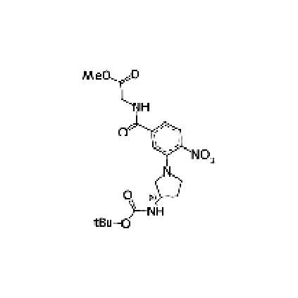 COC(=O)CNC(=O)c1ccc([N+](=O)[O-])c(N2CC[C@H](NC(=O)OC(C)(C)C)C2)c1